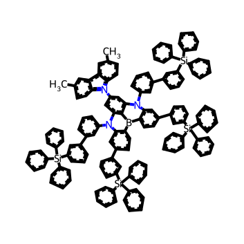 Cc1ccc2c(c1)c1cc(C)ccc1n2-c1cc2c3c(c1)N(c1cccc(-c4cccc([Si](c5ccccc5)(c5ccccc5)c5ccccc5)c4)c1)c1cc(-c4cccc([Si](c5ccccc5)(c5ccccc5)c5ccccc5)c4)ccc1B3c1ccc(-c3cccc([Si](c4ccccc4)(c4ccccc4)c4ccccc4)c3)cc1N2c1cccc(-c2cccc([Si](c3ccccc3)(c3ccccc3)c3ccccc3)c2)c1